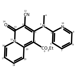 CCOC(=O)c1c(N(C)c2ccccn2)c(C#N)c(=O)n2ccccc12